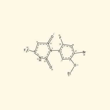 CCOc1cc(-n2c(=O)cc(C(F)(F)F)[nH]c2=O)c(F)cc1Br